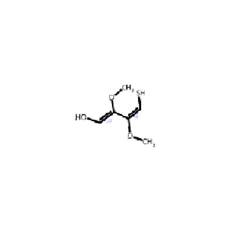 COC(=C\O)/C(=C\S)OC